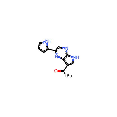 CC(C)(C)C(=O)c1c[nH]c2ncc(-c3ccc[nH]3)nc12